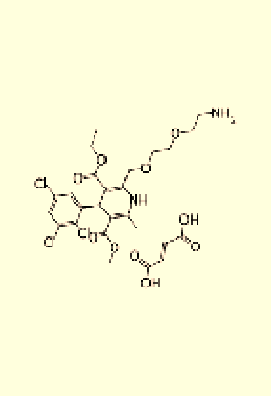 CCOC(=O)C1=C(COCCOCCN)NC(C)=C(C(=O)OC)[C@H]1c1cc(Cl)cc(Cl)c1Cl.O=C(O)C=CC(=O)O